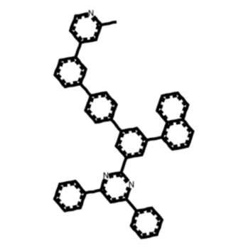 Cc1cc(-c2cccc(-c3ccc(-c4cc(-c5nc(-c6ccccc6)cc(-c6ccccc6)n5)cc(-c5cccc6ccccc56)c4)cc3)c2)ccn1